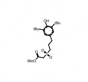 COC(=O)CS(=O)(=O)CCCc1cc(C(C)(C)C)c(O)c(C(C)(C)C)c1